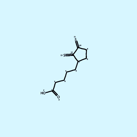 O=C(O)CCCCC1CCC(=S)C1=S